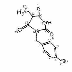 CCC(C)c1ccc(CN2C(=O)NC(=O)C(C)C2=O)cc1